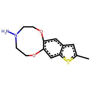 Cc1cc2cc3c(cc2s1)OCCN(N)CCO3